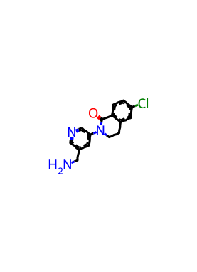 NCc1cncc(N2CCc3cc(Cl)ccc3C2=O)c1